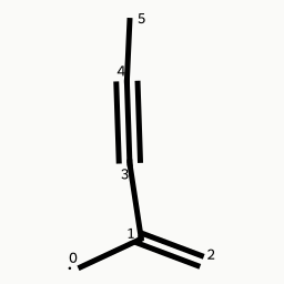 [CH2]C(=C)C#CC